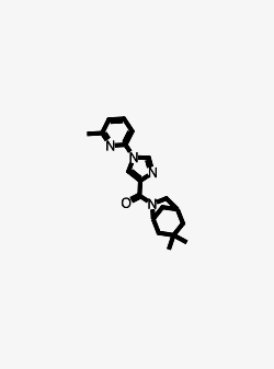 Cc1cccc(-n2cnc(C(=O)N3CC4CC3CC(C)(C)C4)c2)n1